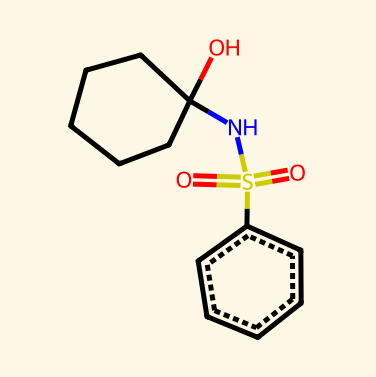 O=S(=O)(NC1(O)CCCCC1)c1ccccc1